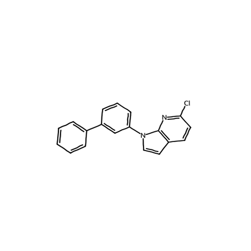 Clc1ccc2ccn(-c3cccc(-c4ccccc4)c3)c2n1